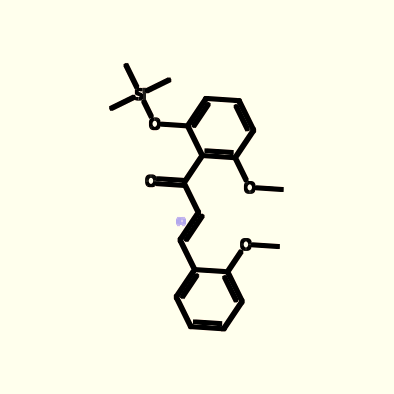 COc1ccccc1/C=C/C(=O)c1c(OC)cccc1O[Si](C)(C)C